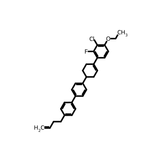 C=CCCc1ccc(-c2ccc(C3CC=C(c4ccc(OCC)c(Cl)c4F)CC3)cc2)cc1